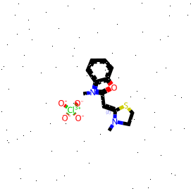 CN1CCS/C1=C\c1oc2ccccc2[n+]1C.[O-][Cl+3]([O-])([O-])[O-]